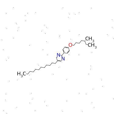 CCCCCCCCCCCCc1cnc(-c2ccc(OCCCCC(C)CC)cc2)nc1